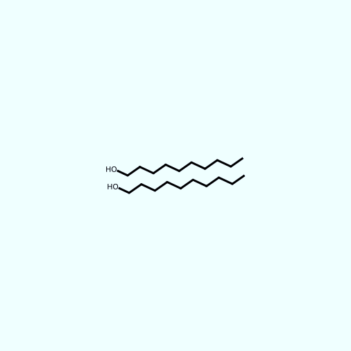 CCCCCCCCCCO.CCCCCCCCCCO